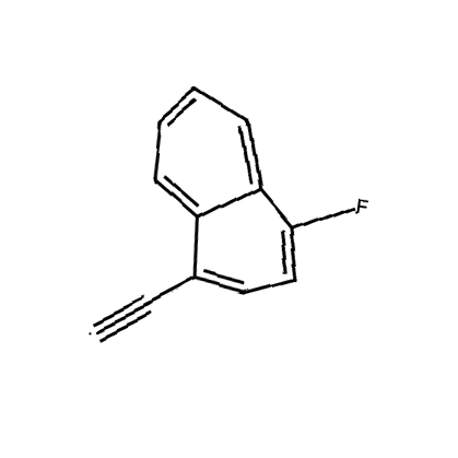 [C]#Cc1ccc(F)c2ccccc12